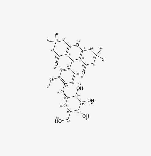 COc1cc(C2C3=C(CC(C)(C)CC3=O)OC3=C2C(=O)CC(C)(C)C3)ccc1O[C@@H]1OC(CO)[C@@H](O)C(O)C1O